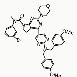 COc1ccc(CN(Cc2ccc(OC)cc2)c2ncc(-c3nc(N4CCOCC4)nc4c3CCN4C(=O)N(C)c3cccc(Br)c3)cn2)cc1